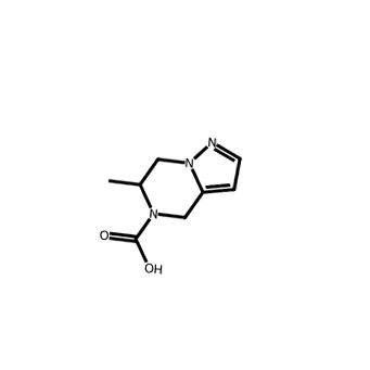 CC1Cn2nccc2CN1C(=O)O